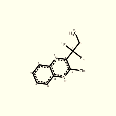 CCC(F)(F)c1nc2ccccc2nc1Cl